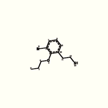 CCCOc1c(Br)cccc1CCS